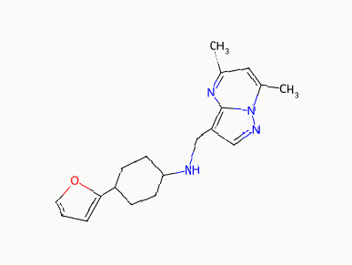 Cc1cc(C)n2ncc(CNC3CCC(c4ccco4)CC3)c2n1